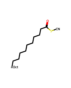 CCCCCCCCCCCCCCCCCC(=O)SC#N